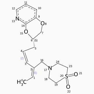 C/C=C(\C=C/C[C@H]1COc2cccnc2O1)CN1CCS(=O)(=O)CC1